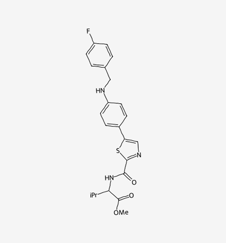 COC(=O)C(NC(=O)c1ncc(-c2ccc(NCc3ccc(F)cc3)cc2)s1)C(C)C